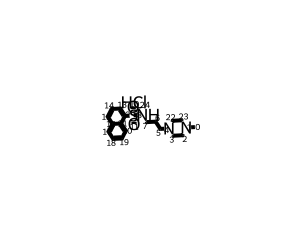 CN1CCN(CCCNS(=O)(=O)c2cccc3ccccc23)CC1.Cl